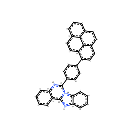 c1cc2ccc3ccc(-c4ccc(-c5nc6ccccc6c6nc7ccccc7n56)cc4)c4ccc(c1)c2c34